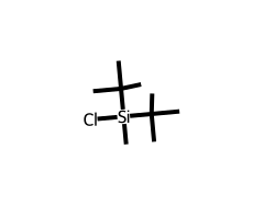 CC(C)(C)[Si](C)(Cl)C(C)(C)C